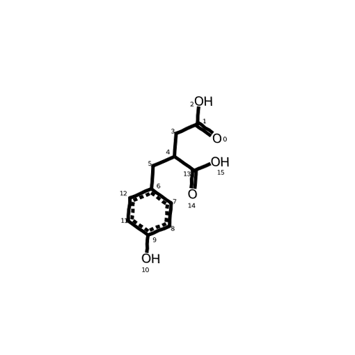 O=C(O)CC(Cc1ccc(O)cc1)C(=O)O